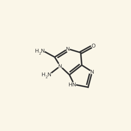 Nc1nc(=O)c2nc[nH]c2n1N